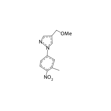 COCc1cnn(-c2ccc([N+](=O)[O-])c(C)c2)c1